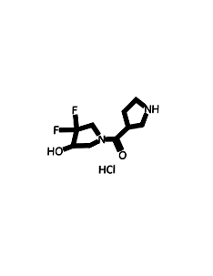 Cl.O=C(C1CCNC1)N1CC(O)C(F)(F)C1